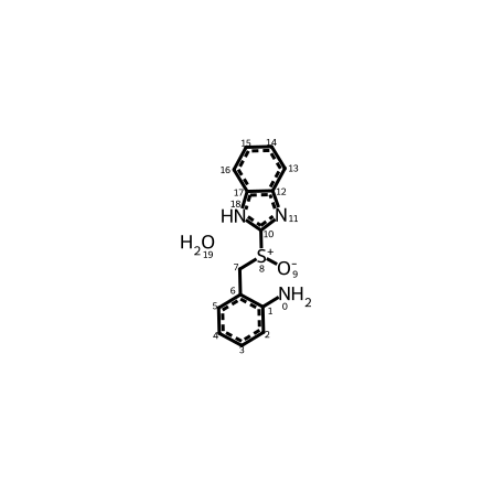 Nc1ccccc1C[S+]([O-])c1nc2ccccc2[nH]1.O